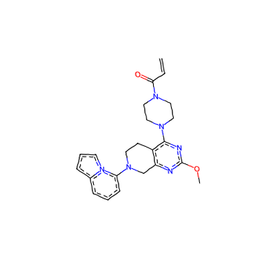 C=CC(=O)N1CCN(c2nc(OC)nc3c2CCN(c2cccc4cccn24)C3)CC1